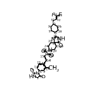 Cc1cc(N2C(=O)CNC2=O)ccc1CCS(=O)(=O)N1CCC2(CC1)N=C([C@H]1CC[C@H](CC=C(F)F)CC1)NC2=O